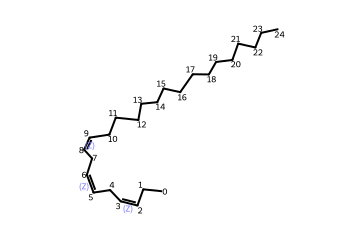 CC/C=C\C/C=C\C/C=C\CCCCCCCCCCCCCCC